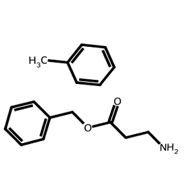 Cc1ccccc1.NCCC(=O)OCc1ccccc1